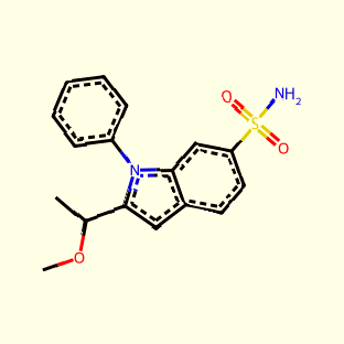 COC(C)c1cc2ccc(S(N)(=O)=O)cc2n1-c1ccccc1